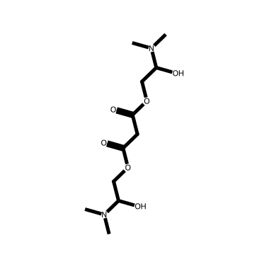 CN(C)C(O)COC(=O)CC(=O)OCC(O)N(C)C